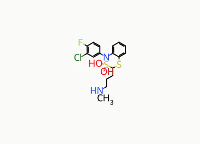 CNCCCC1Sc2ccccc2N(c2ccc(F)c(Cl)c2)S1(O)O